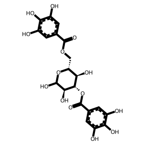 O=C(OC[C@H]1OC(O)[C@H](O)[C@@H](OC(=O)c2cc(O)c(O)c(O)c2)[C@@H]1O)c1cc(O)c(O)c(O)c1